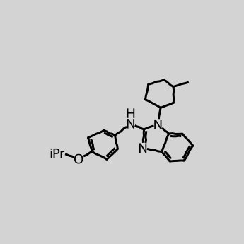 CC1CCCC(n2c(Nc3ccc(OC(C)C)cc3)nc3ccccc32)C1